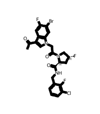 CC(=O)c1cn(CC(=O)N2C[C@H](F)C[C@H]2C(=O)NCc2cccc(Cl)c2F)c2cc(Br)c(F)cc12